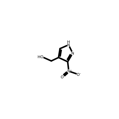 O=[N+]([O-])c1n[nH]cc1CO